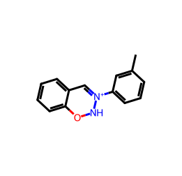 Cc1cccc([N+]2=Cc3ccccc3ON2)c1